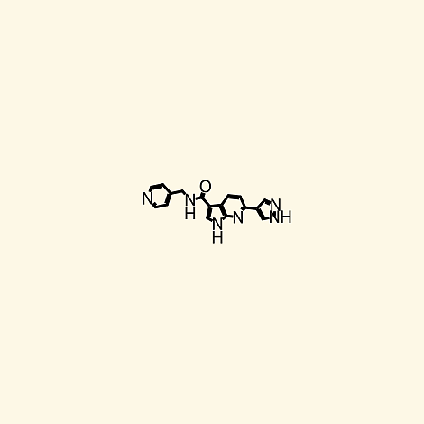 O=C(NCc1ccncc1)c1c[nH]c2nc(-c3cn[nH]c3)ccc12